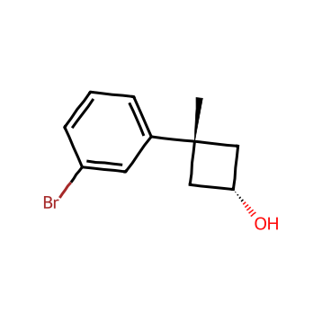 C[C@]1(c2cccc(Br)c2)C[C@@H](O)C1